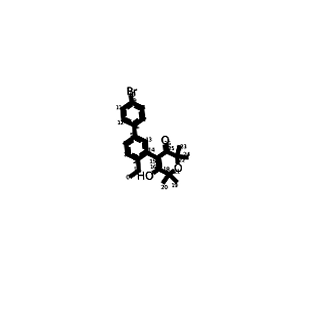 CCc1ccc(-c2ccc(Br)cc2)cc1C1=C(O)C(C)(C)OC(C)(C)C1=O